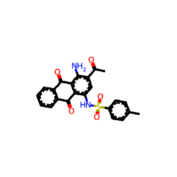 CC(=O)c1cc(NS(=O)(=O)c2ccc(C)cc2)c2c(c1N)C(=O)c1ccccc1C2=O